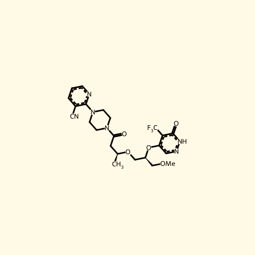 COC[C@@H](CO[C@@H](C)CC(=O)N1CCN(c2ncccc2C#N)CC1)Oc1cn[nH]c(=O)c1C(F)(F)F